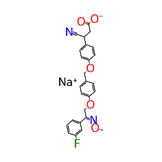 CON=C(COc1ccc(COc2ccc(C(C#N)CC(=O)[O-])cc2)cc1)c1cccc(F)c1.[Na+]